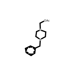 CC(=O)OCN1CCN(Cc2ccccc2)CC1